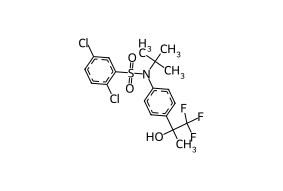 CC(C)(C)N(c1ccc(C(C)(O)C(F)(F)F)cc1)S(=O)(=O)c1cc(Cl)ccc1Cl